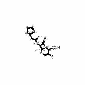 CC(=O)C1=CS[C@H]2C(NC(=O)Cc3cccs3)C(=O)N2C1C(=O)O